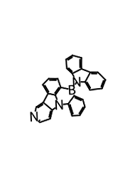 c1ccc2c(c1)B(n1c3ccccc3c3ccccc31)c1cccc3c4cnccc4n-2c13